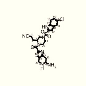 N#CCCC1CN(S(=O)(=O)c2cc3cc(Cl)ccc3[nH]2)CCN1C(=O)c1nc2c(s1)CNC(N)C2